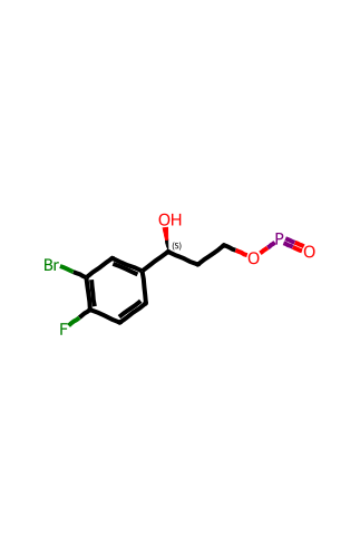 O=POCC[C@H](O)c1ccc(F)c(Br)c1